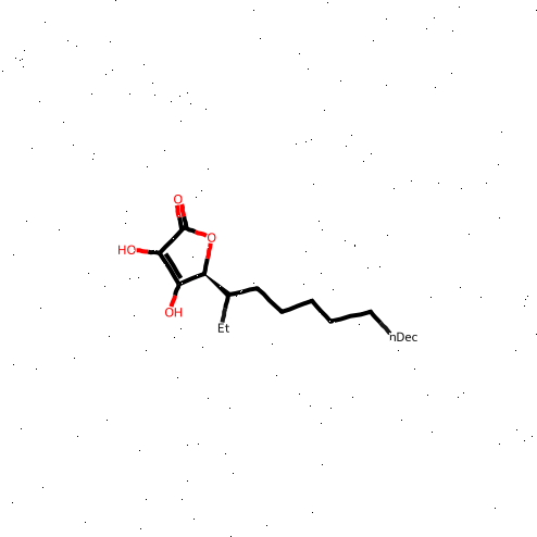 CCCCCCCCCCCCCCCC(CC)[C@@H]1OC(=O)C(O)=C1O